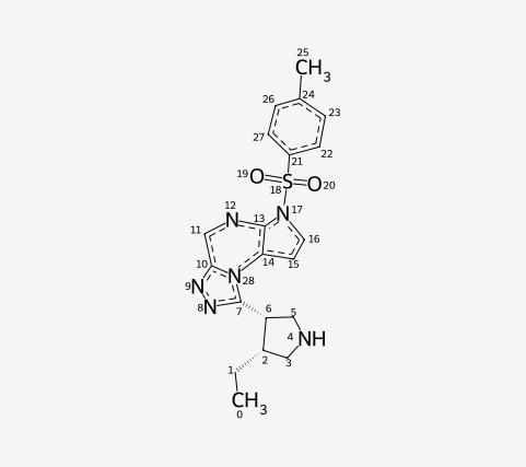 CC[C@H]1CNC[C@H]1c1nnc2cnc3c(ccn3S(=O)(=O)c3ccc(C)cc3)n12